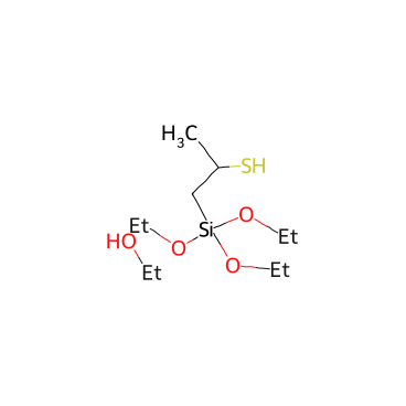 CCO.CCO[Si](CC(C)S)(OCC)OCC